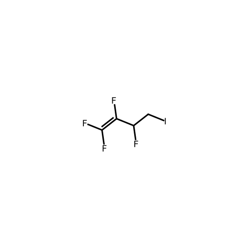 FC(F)=C(F)C(F)CI